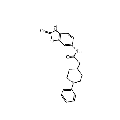 O=C(CC1CCN(c2ccccc2)CC1)Nc1ccc2[nH]c(=O)oc2c1